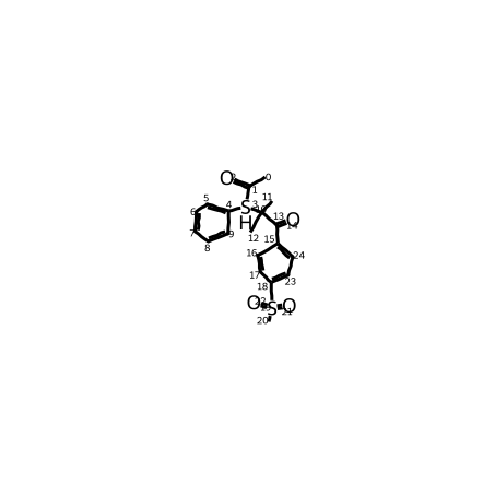 CC(=O)[SH](c1ccccc1)C(C)(C)C(=O)c1ccc(S(C)(=O)=O)cc1